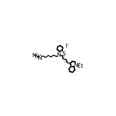 CC[n+]1ccc(/C=C/C=C2\Sc3ccccc3N2CCCCCCN=[N+]=[N-])c2ccccc21.[I-]